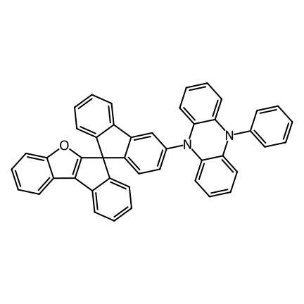 c1ccc(N2c3ccccc3N(c3ccc4c(c3)-c3ccccc3C43c4ccccc4-c4c3oc3ccccc43)c3ccccc32)cc1